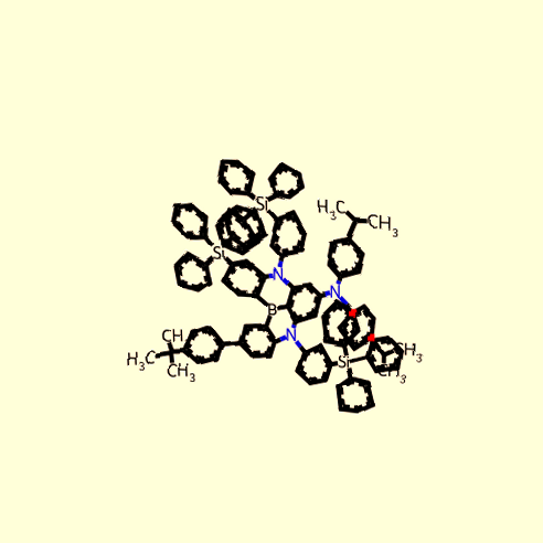 CC(C)c1ccc(N(c2ccc(C(C)C)cc2)c2cc3c4c(c2)N(c2cccc([Si](c5ccccc5)(c5ccccc5)c5ccccc5)c2)c2cc([Si](c5ccccc5)(c5ccccc5)c5ccccc5)ccc2B4c2cc(-c4ccc(C(C)(C)C)cc4)ccc2N3c2cccc([Si](c3ccccc3)(c3ccccc3)c3ccccc3)c2)cc1